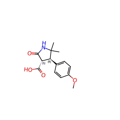 COc1ccc([C@H]2[C@H](C(=O)O)C(=O)NC2(C)C)cc1